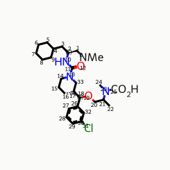 CNC[C@H](CC1CCCCC1)NC(=O)N1CCC[C@@H]([C@@H](OCC(C)N(C)C(=O)O)c2cccc(Cl)c2)C1